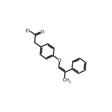 CCC(=O)Cc1ccc(OC=C(C)c2ccccc2)cc1